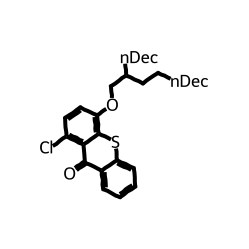 CCCCCCCCCCCCC(CCCCCCCCCC)COc1ccc(Cl)c2c(=O)c3ccccc3sc12